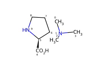 CN(C)C.O=C(O)[C@@H]1CCCN1